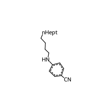 CCCCCCCCCCCNc1ccc(C#N)cc1